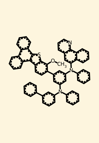 COc1c(-c2cc(N(c3ccccc3)c3cccc(-c4ccccc4)c3)cc(N(c3ccccc3)c3cc4cccnc4c4ccccc34)c2)ccc2c1sc1c3ccccc3c3ccccc3c21